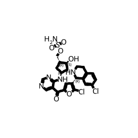 NS(=O)(=O)OC[C@H]1C[C@@H](Nc2ncncc2C(=O)c2cc([C@@H]3NCCc4ccc(Cl)cc43)c(Cl)o2)C[C@@H]1O